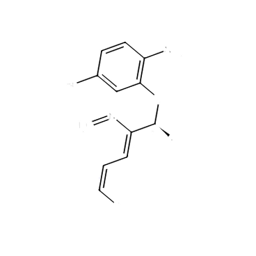 C=N/C(=C\C=C/C)[C@H](C)Oc1cc(Br)ccc1N